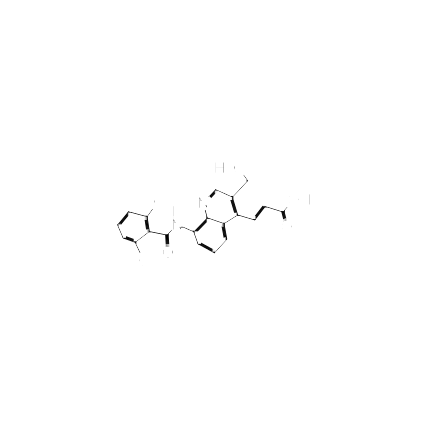 CCc1cnc2c(NC(=O)c3c(Cl)cccc3Cl)cccc2c1C=CC(=O)O